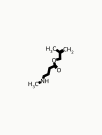 C=C(C)COC(=O)CCCNC